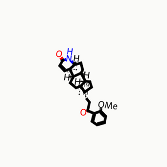 COc1ccccc1C(=O)CC[C@H]1CC[C@H]2[C@@H]3CC[C@H]4NC(=O)C=C[C@]4(C)[C@H]3CC[C@]12C